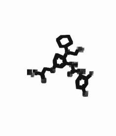 CC(C)CN(c1ccc(OCC(N)=O)cc1NC(=O)Nc1ccc(Cl)cc1F)C1CCCCC1